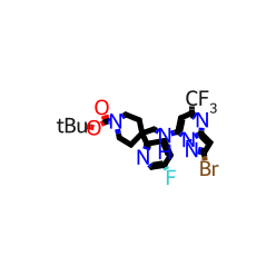 CC(C)(C)OC(=O)N1CCC(CNc2cc(C(F)(F)F)nc3cc(Br)nn23)(c2ccc(F)cn2)CC1